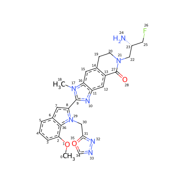 COc1cccc2cc(-c3nc4cc5c(cc4n3C)CCN(C[C@H](N)CF)C5=O)n(Cc3nnco3)c12